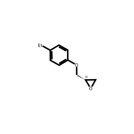 CCc1ccc(OC[C@@H]2CO2)cc1